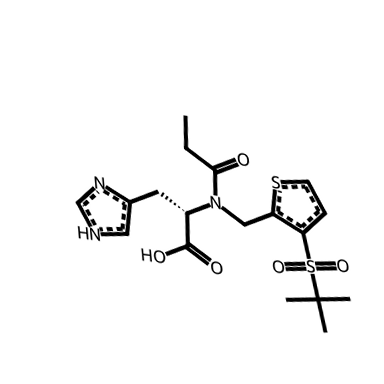 CCC(=O)N(Cc1sccc1S(=O)(=O)C(C)(C)C)[C@@H](Cc1c[nH]cn1)C(=O)O